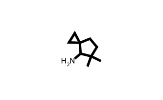 CC1(C)CCC2(CC2)C1N